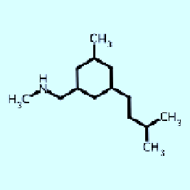 CNCC1CC(C)CC(CCC(C)C)C1